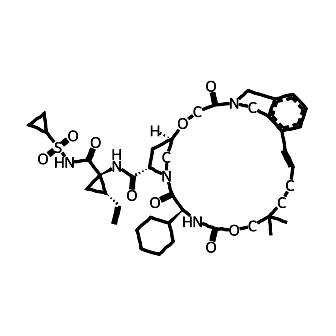 C=C[C@@H]1C[C@]1(NC(=O)[C@@H]1C[C@@H]2CN1C(=O)[C@H](C1CCCCC1)NC(=O)OCC(C)(C)CC/C=C/c1cccc3c1CN(C3)C(=O)CO2)C(=O)NS(=O)(=O)C1CC1